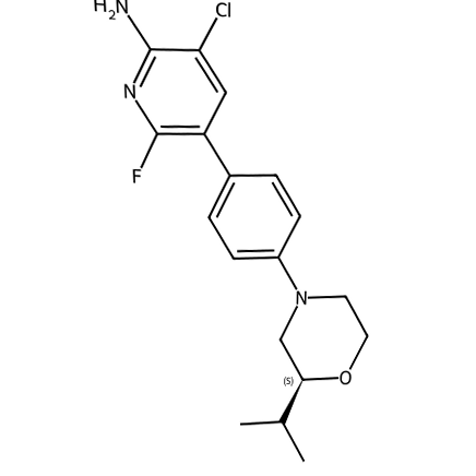 CC(C)[C@H]1CN(c2ccc(-c3cc(Cl)c(N)nc3F)cc2)CCO1